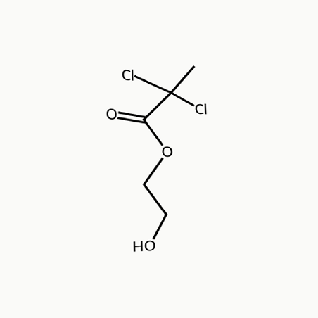 CC(Cl)(Cl)C(=O)OCCO